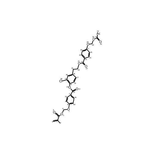 C=C(C)C(=O)OCOc1ccc(C(=O)Oc2ccc(CCOC(=O)c3ccc(OCOC(=O)C(C)=O)cc3)cc2Cl)cc1